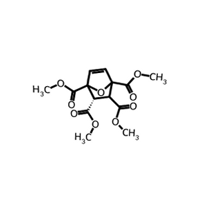 COC(=O)C1[C@H](C(=O)OC)C2(C(=O)OC)C=CC1(C(=O)OC)O2